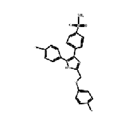 NS(=O)(=O)c1ccc(-c2nc(COc3ccc(F)cc3)[nH]c2-c2ccc(Cl)cc2)cc1